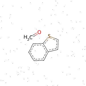 C=O.c1ccc2sccc2c1